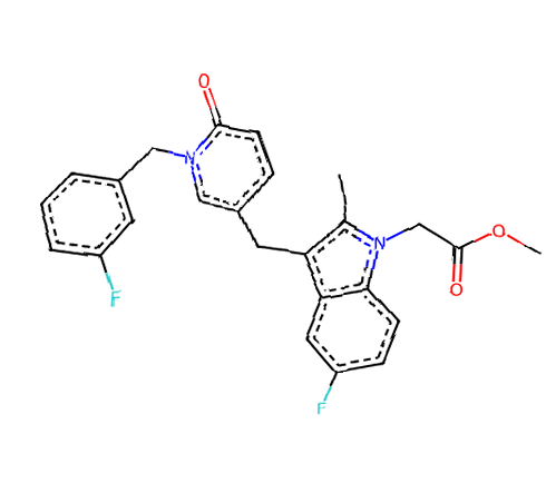 COC(=O)Cn1c(C)c(Cc2ccc(=O)n(Cc3cccc(F)c3)c2)c2cc(F)ccc21